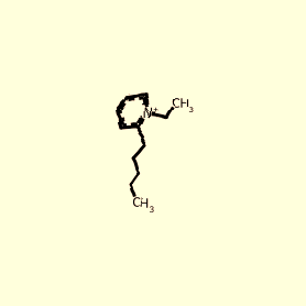 CCCCCc1cccc[n+]1CC